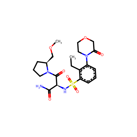 CCc1c(N2CCOCC2=O)cccc1S(=O)(=O)N[C@@H](C(N)=O)C(=O)N1CCC[C@H]1COC